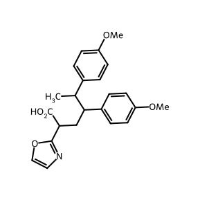 COc1ccc(C(C)C(CC(C(=O)O)c2ncco2)c2ccc(OC)cc2)cc1